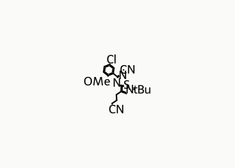 COc1ccc(Cl)cc1C(/N=c1\sn(C(C)(C)C)cc1CCCC#N)=N\C#N